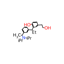 CCC(c1cccc(C(C)N(C(C)C)C(C)C)c1)c1cc(CCO)ccc1O